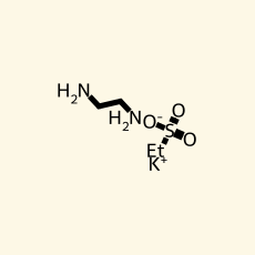 CCS(=O)(=O)[O-].NCCN.[K+]